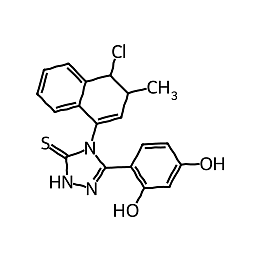 CC1C=C(n2c(-c3ccc(O)cc3O)n[nH]c2=S)c2ccccc2C1Cl